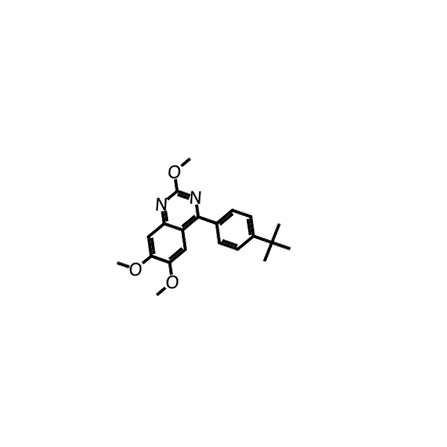 COc1nc(-c2ccc(C(C)(C)C)cc2)c2cc(OC)c(OC)cc2n1